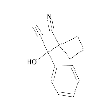 C#CC(O)(c1ccccc1)C1(C#N)CCC1